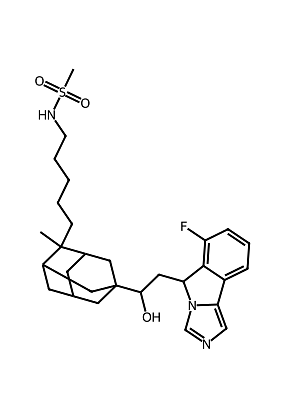 CC1(CCCCCNS(C)(=O)=O)C2CC3CC1CC(C(O)CC1c4c(F)cccc4-c4cncn41)(C3)C2